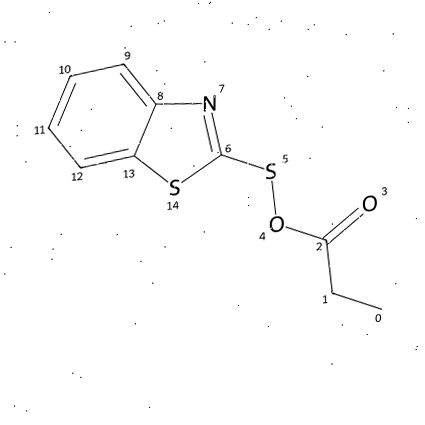 CCC(=O)OSc1nc2ccccc2s1